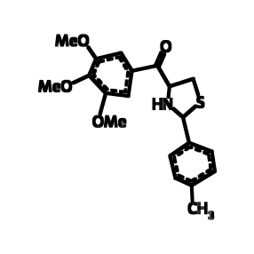 COc1cc(C(=O)C2CSC(c3ccc(C)cc3)N2)cc(OC)c1OC